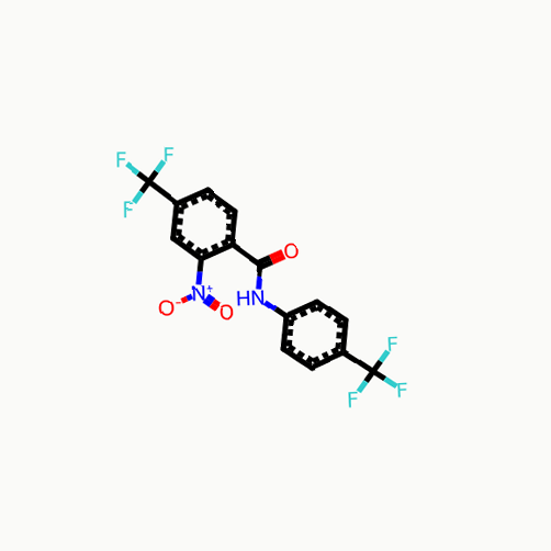 O=C(Nc1ccc(C(F)(F)F)cc1)c1ccc(C(F)(F)F)cc1[N+](=O)[O-]